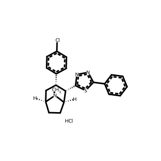 CN1[C@H]2CC[C@@H]1[C@@H](c1nnc(-c3ccccc3)s1)[C@@H](c1ccc(Cl)cc1)C2.Cl